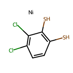 Sc1ccc(Cl)c(Cl)c1S.[Ni]